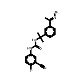 C/C(=N\O)c1cccc(C(C)(C)NC(=O)Nc2ccc(Cl)c(C#N)c2)c1